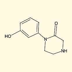 O=C1CNCCN1c1cccc(O)c1